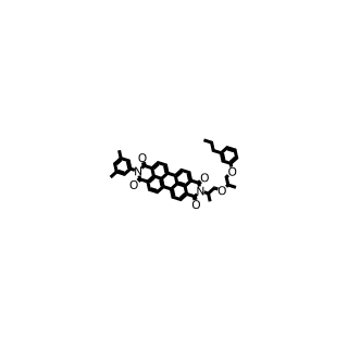 CCCc1cccc(OCC(C)OCC(C)N2C(=O)c3ccc4c5ccc6c7c(ccc(c8ccc(c3c48)C2=O)c75)C(=O)N(c2cc(C)cc(C)c2)C6=O)c1